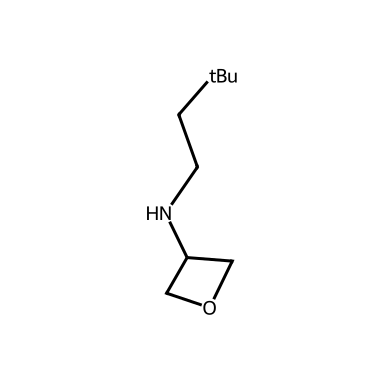 CC(C)(C)CCNC1COC1